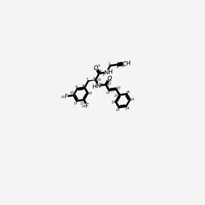 C#CCNC(=O)[C@H](Cc1cc(F)cc(F)c1)NC(=O)/C=C/c1ccccc1